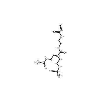 C=CC(=O)OCCNC(=O)N(CCOC(N)=O)CCOC(N)=O